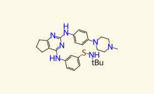 CN1CCN(c2ccc(Nc3nc4c(c(Nc5cccc(SNC(C)(C)C)c5)n3)CCC4)cc2)CC1